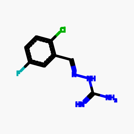 N=C(N)NN=Cc1cc(F)ccc1Cl